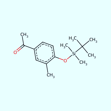 CC(=O)c1ccc(O[Si](C)(C)C(C)(C)C)c(C)c1